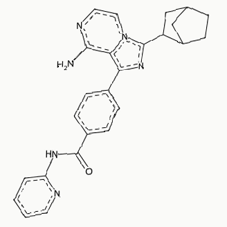 Nc1nccn2c(C3CC4CCC3C4)nc(-c3ccc(C(=O)Nc4ccccn4)cc3)c12